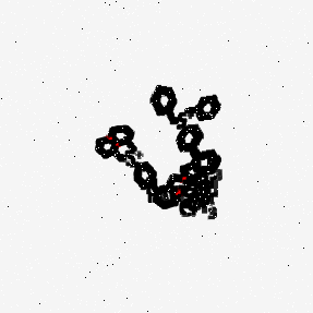 CC1=Cc2c(-c3ccc([S+](Cc4ccccc4)Cc4ccccc4)cc3)cccc2[CH]1[Zr]([Cl])([Cl])([Br])([Br])([CH]1C(C)=Cc2c(-c3ccc([S+](Cc4ccccc4)Cc4ccccc4)cc3)cccc21)[SiH](C)C